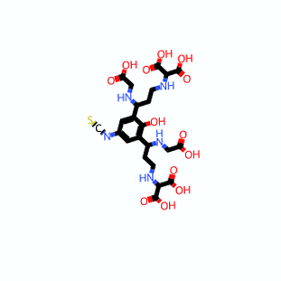 O=C(O)CNC(CCNC(C(=O)O)C(=O)O)c1cc(N=C=S)cc(C(CCNC(C(=O)O)C(=O)O)NCC(=O)O)c1O